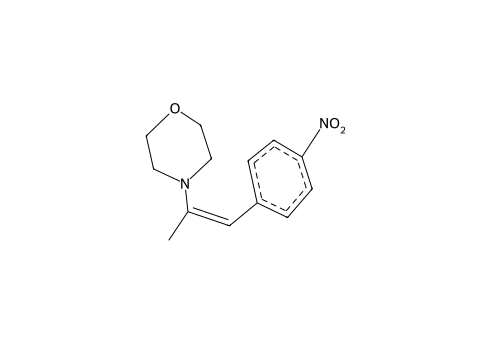 CC(=Cc1ccc([N+](=O)[O-])cc1)N1CCOCC1